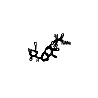 [2H]C([2H])(Oc1cc2cc(Nc3nc(Cl)ncc3Cl)ccc2n(C)c1=O)C(=O)NC